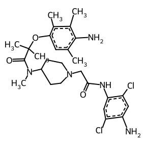 Cc1cc(OC(C)(C)C(=O)N(C)C2CCN(CC(=O)Nc3cc(Cl)c(N)cc3Cl)CC2)c(C)c(C)c1N